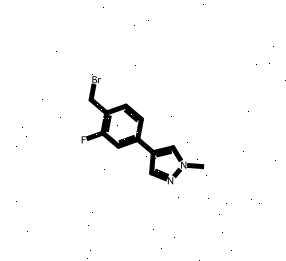 Cn1cc(-c2ccc(CBr)c(F)c2)cn1